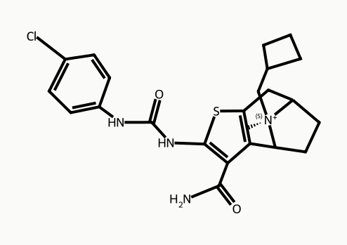 C[N@+]1(CC2CCC2)C2CCC1c1c(sc(NC(=O)Nc3ccc(Cl)cc3)c1C(N)=O)C2